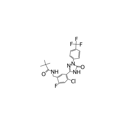 CC(C)(C)C(=O)NCc1cc(-c2nn(-c3ccc(C(F)(F)F)cc3)c(=O)[nH]2)c(Cl)cc1F